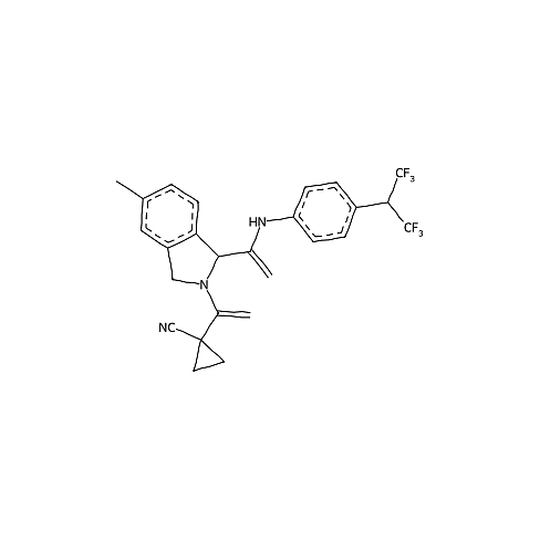 C=C(Nc1ccc(C(C(F)(F)F)C(F)(F)F)cc1)C1c2ccc(C)cc2CN1C(=C)C1(C#N)CC1